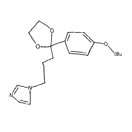 CC(C)(C)Oc1ccc(C2(CCCn3ccnc3)OCCO2)cc1